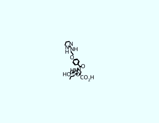 CC(O)CS(=O)(=O)NN(CCC(=O)O)C(=O)c1ccc(OCCNC2=NCCCN2)cc1